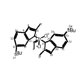 C[CH]=[Zr]([Cl])([Cl])([CH]1C(C)=Cc2ccc(C(C)(C)C)cc21)[CH]1C(C)=Cc2ccc(C(C)(C)C)cc21